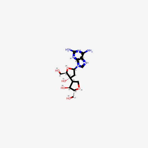 Nc1nc(N)c2ncn(C3C[C@@](O)(C4CO[C@H](CO)[C@H]4O)[C@@H](CO)O3)c2n1